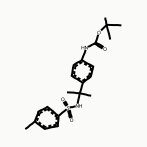 Cc1ccc(S(=O)(=O)NC(C)(C)c2ccc(NC(=O)OC(C)(C)C)cc2)cc1